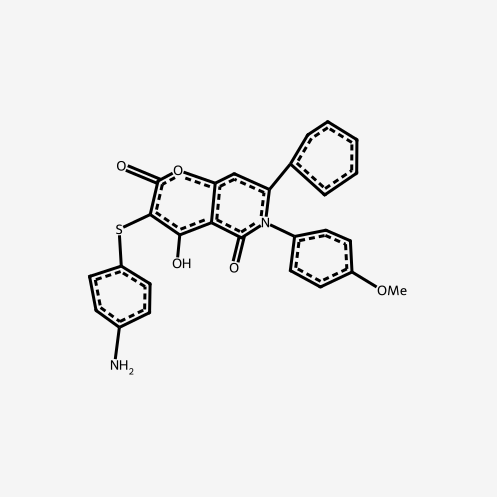 COc1ccc(-n2c(-c3ccccc3)cc3oc(=O)c(Sc4ccc(N)cc4)c(O)c3c2=O)cc1